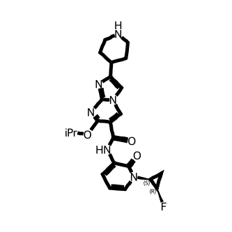 CC(C)Oc1nc2nc(C3CCNCC3)cn2cc1C(=O)Nc1cccn([C@H]2C[C@H]2F)c1=O